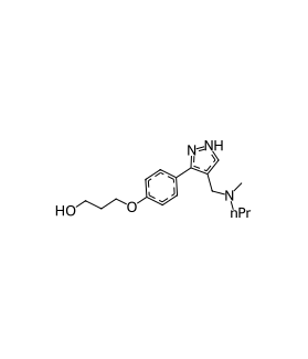 CCCN(C)Cc1c[nH]nc1-c1ccc(OCCCO)cc1